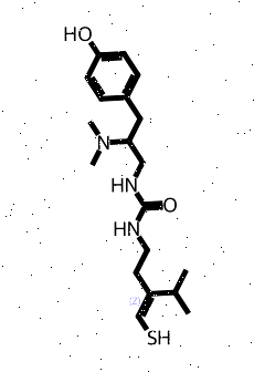 CC(C)/C(=C\S)CCNC(=O)NCC(Cc1ccc(O)cc1)N(C)C